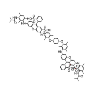 Cc1cc(C)c(NC(=O)C(C)C)c(C)c1/N=c1/cc2oc3cc(Nc4c(C)cc(C)c(OC5CCC(Oc6c(C)cc(C)c(/N=c7/cc8oc9cc(Nc%10c(C)cc(C)c(NC(=O)C(C)C)c%10C)ccc9c(-c9ccccc9S(=O)(=O)O)c-8cc7S(=O)(=O)O)c6C)CC5)c4C)ccc3c(-c3ccccc3S(=O)(=O)O)c-2cc1S(=O)(=O)O